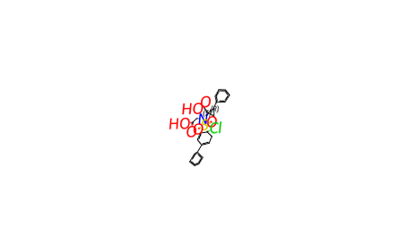 O=C(O)CN([C@@]1(C(=O)O)C[C@@H]1c1ccccc1)S(=O)(=O)C1(Cl)C=CC(c2ccccc2)=CC1